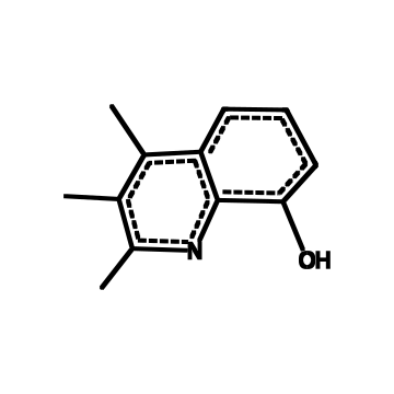 Cc1nc2c(O)cccc2c(C)c1C